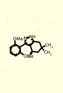 COc1cccc(OC)c1-c1n[nH]c2c1C(=O)CC(C)(C)C2